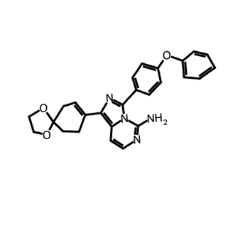 Nc1nccc2c(C3=CCC4(CC3)OCCO4)nc(-c3ccc(Oc4ccccc4)cc3)n12